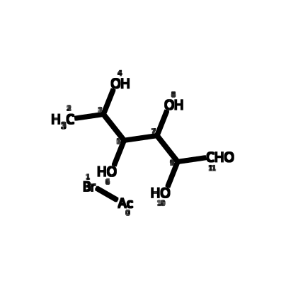 CC(=O)Br.CC(O)C(O)C(O)C(O)C=O